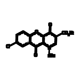 CCCCn1cc(C(=O)OCC)c(=O)c2oc3ccc(Cl)cc3c(=O)c21